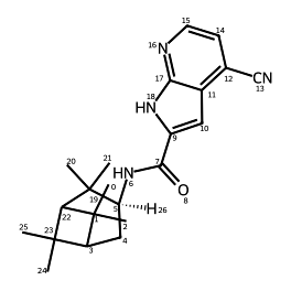 CC1(C)C2C[C@H](NC(=O)c3cc4c(C#N)ccnc4[nH]3)C(C)(C)C1C2(C)C